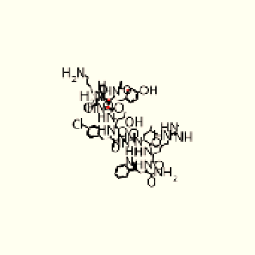 CNC(=N)NCCC[C@H](NC(=O)[C@H](CC(C)C)NC(=O)NNC(=O)[C@H](Cc1ccc(Cl)cc1)NC(=O)[C@@H](NC(=O)[C@H](CC(N)=O)NC(=O)[C@H](CCCCN)NC(=O)[C@@H](Cc1ccc(O)cc1)NC(C)=O)[C@@H](C)O)C(=O)N[C@@H](Cc1c[nH]c2ccccc12)C(N)=O